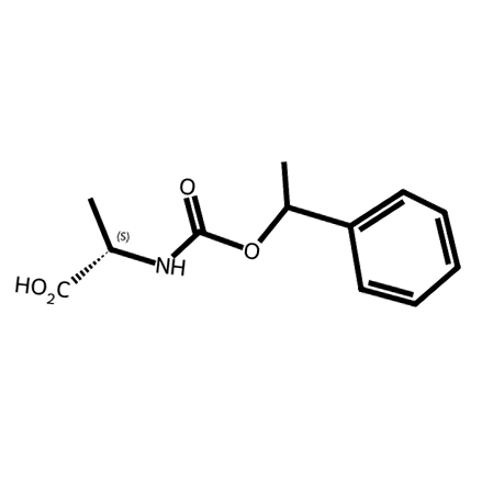 CC(OC(=O)N[C@@H](C)C(=O)O)c1ccccc1